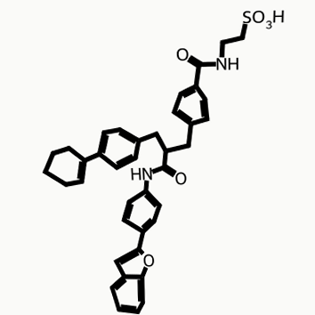 O=C(NCCS(=O)(=O)O)c1ccc(CC(Cc2ccc(C3=CCCCC3)cc2)C(=O)Nc2ccc(-c3cc4ccccc4o3)cc2)cc1